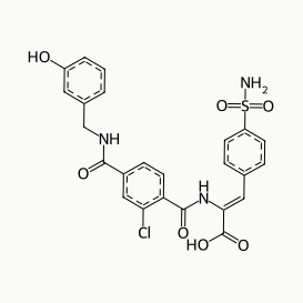 NS(=O)(=O)c1ccc(C=C(NC(=O)c2ccc(C(=O)NCc3cccc(O)c3)cc2Cl)C(=O)O)cc1